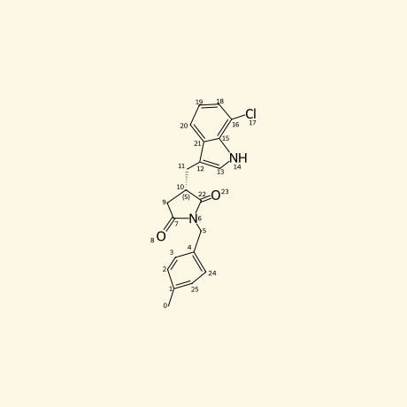 Cc1ccc(CN2C(=O)C[C@H](Cc3c[nH]c4c(Cl)cccc34)C2=O)cc1